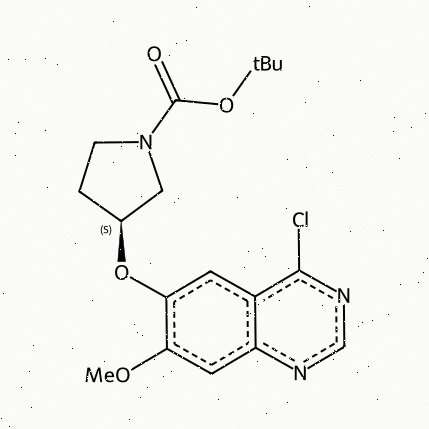 COc1cc2ncnc(Cl)c2cc1O[C@H]1CCN(C(=O)OC(C)(C)C)C1